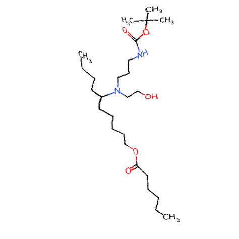 CCCCCC(=O)OCCCCCC(CCCC)N(CCO)CCCNC(=O)OC(C)(C)C